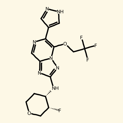 F[C@@H]1COCC[C@@H]1Nc1nc2cnc(-c3cn[nH]c3)c(OCC(F)(F)F)n2n1